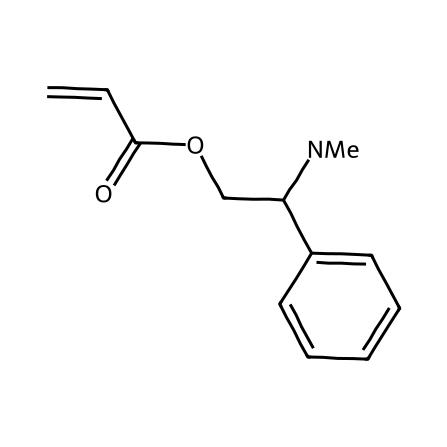 C=CC(=O)OCC(NC)c1ccccc1